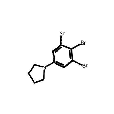 Brc1cc(N2CCCC2)cc(Br)c1Br